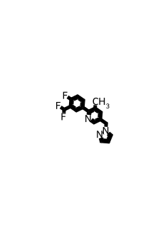 Cc1cc(Cn2cccn2)cnc1-c1ccc(F)c(C(F)F)c1